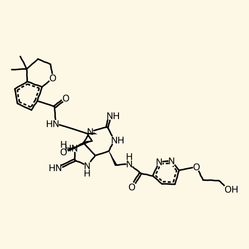 CC1(C)CCOc2c(C(=O)NC3CN4C(=N)N[C@@H](CNC(=O)c5ccc(OCCO)nn5)C5NC(=N)NC54[C@@H]3O)cccc21